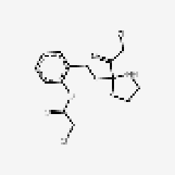 O=C(CCl)Oc1ccccc1CCC1(C(=O)CCl)NCCS1